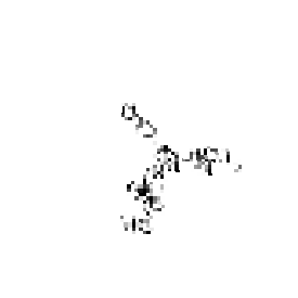 Cn1cc(-c2nc(-c3ccc(Cl)cc3)cc(N3CCN(S(=O)(=O)CCO)CC3)n2)cn1